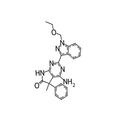 CCOCn1nc(-c2nc(N)c3c(n2)NC(=O)C3(C)c2ccccc2)c2ccccc21